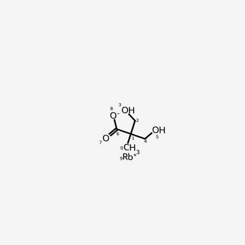 CC(CO)(CO)C(=O)[O-].[Rb+]